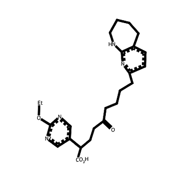 CCOc1ncc(C(CCC(=O)CCCCc2ccc3c(n2)NCCCC3)C(=O)O)cn1